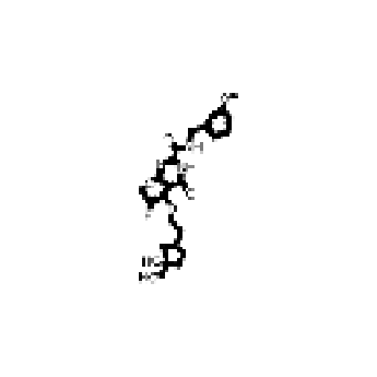 COc1cccc(CNC(=O)c2nc3ccc(F)c(OCCC4CCC(O)(CO)C4)c3c(=O)[nH]2)c1